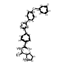 CCC(NC(=O)c1ccc(-c2noc(-c3ccc(Oc4ccccc4)cc3)n2)cc1)C1CCCN1